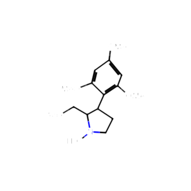 COc1cc(OC)c(C2CCN(C)C2COC(C)=O)c(OC)c1